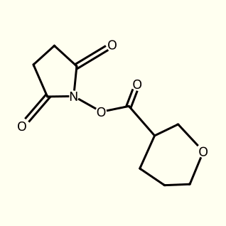 O=C(ON1C(=O)CCC1=O)C1CCCOC1